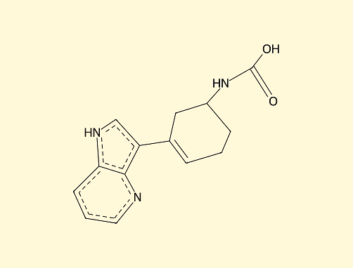 O=C(O)NC1CCC=C(c2c[nH]c3cccnc23)C1